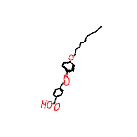 CCCCCCCCOc1ccc(OCc2ccc(C(=O)O)cc2)cc1